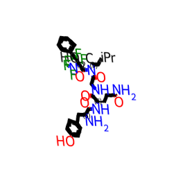 CC(C)C[C@@H](C(=O)O)N(C(=O)CNC(=O)[C@@H](CCC(N)=O)NC(=O)[C@@H](N)Cc1ccc(O)cc1)C(=O)[C@@](F)(N(F)F)C(F)(F)c1ccccc1